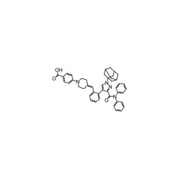 O=C(O)c1ccc(N2CCC(=Cc3ccccc3-c3cn(C45CC6CC(CC(C6)C4)C5)nc3C(=O)N(c3ccccc3)c3ccccc3)CC2)cc1